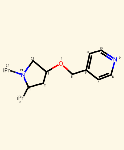 CC(C)C1CC(OCc2ccncc2)CN1C(C)C